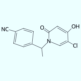 CC(c1ccc(C#N)cc1)n1cc(Cl)c(O)cc1=O